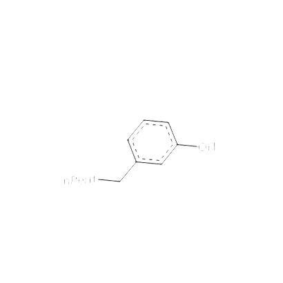 CCCCCCc1[c]ccc(O)c1